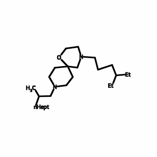 CCCCCCCC(C)CN1CCC2(CC1)CN(CCCC(CC)CC)CCO2